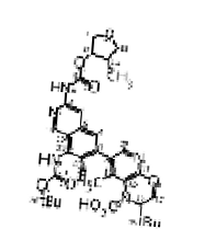 Cc1c(-c2cc3cc(NC(=O)O[C@H]4COC[C@H]4C)ncc3c(NC(=O)OC(C)(C)C)c2F)cnc2c1N(C(=O)O)C(C(C)(C)C)CO2